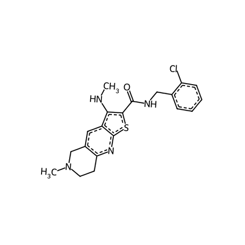 CNc1c(C(=O)NCc2ccccc2Cl)sc2nc3c(cc12)CN(C)CC3